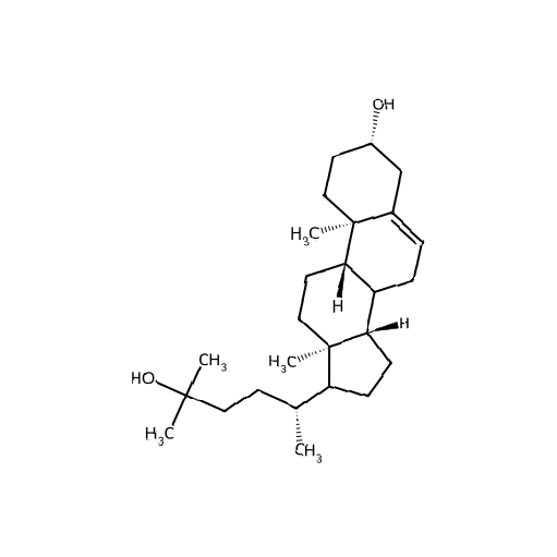 C[C@H](CCC(C)(C)O)C1CC[C@H]2C3CC=C4C[C@@H](O)CC[C@]4(C)[C@H]3CC[C@]12C